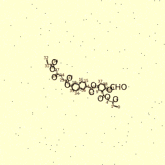 C=CC(=O)COC(=O)c1cc(OC(=O)c2ccc3cc(OC(=O)CCC(=O)COC(=O)C=C)ccc3c2)ccc1OC=O